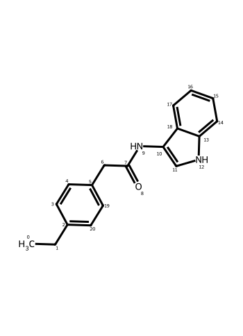 CCc1ccc(CC(=O)Nc2c[nH]c3ccccc23)cc1